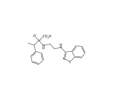 CC(c1ccccc1)[N+]([O-])(NCCNc1nsc2ccccc12)C(=O)O